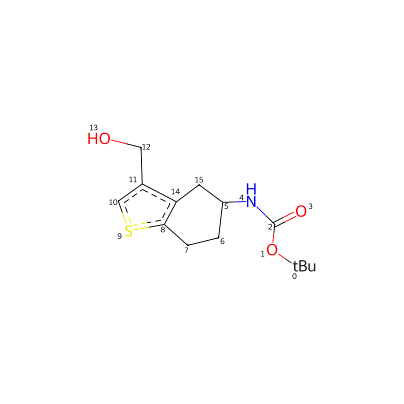 CC(C)(C)OC(=O)NC1CCc2scc(CO)c2C1